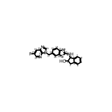 OC1Cc2ccccc2C1Nc1nc2ccc(Cn3cnc4cc(F)cnc43)cc2s1